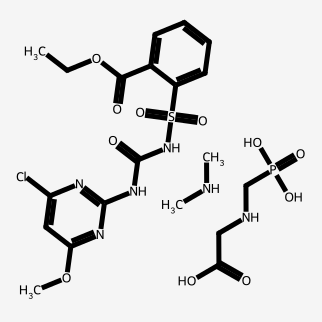 CCOC(=O)c1ccccc1S(=O)(=O)NC(=O)Nc1nc(Cl)cc(OC)n1.CNC.O=C(O)CNCP(=O)(O)O